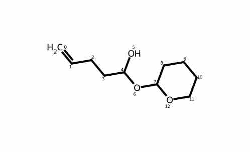 C=CCCC(O)OC1CCCCO1